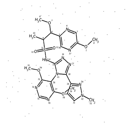 COc1cnc(C(OC)C(C)S(=O)(=O)Nc2nnc(-c3ccn(C)n3)n2-c2c(OC)ncnc2OC)cn1